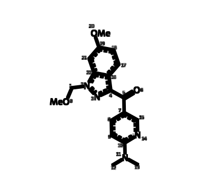 COCn1nc(C(=O)c2ccc(N(C)C)nc2)c2ccc(OC)cc21